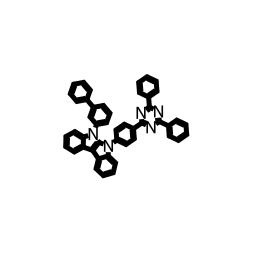 c1ccc(-c2cccc(-n3c4ccccc4c4c5ccccc5n(-c5ccc(-c6nc(-c7ccccc7)nc(-c7ccccc7)n6)cc5)c43)c2)cc1